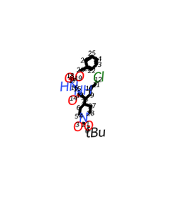 CC(C)(C)OC(=O)N1CCC(C(CCCCl)C(=O)NNC(=O)OCc2ccccc2)CC1